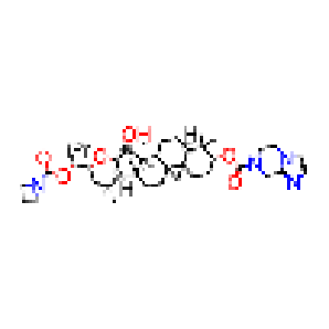 CC(C)C(OC(=O)N1CCC1)C1C[C@@H](C)[C@H]2C(O1)[C@H](O)[C@@]1(C)C3CC[C@H]4C(C)(C)C(OC(=O)N5CCn6ccnc6C5)CCC45CC35CCC21C